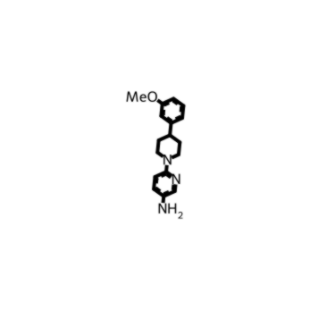 COc1cccc(C2CCN(c3ccc(N)cn3)CC2)c1